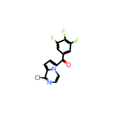 O=C(c1cc(F)c(F)c(F)c1)c1ccc2c(Cl)nccn12